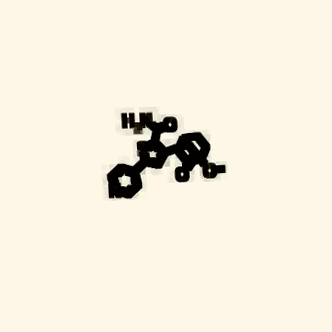 COC12CCC(CC1)C(c1cc(-c3ccncc3)sc1C(N)=O)C2=O